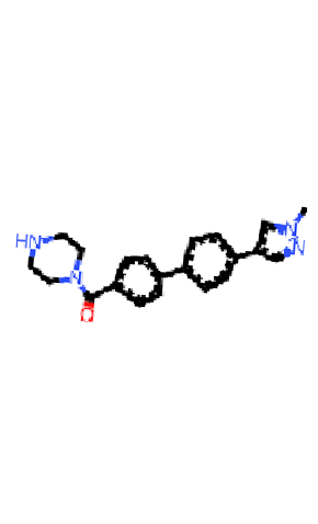 Cn1cc(-c2ccc(-c3ccc(C(=O)N4CCNCC4)cc3)cc2)cn1